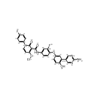 CCOc1ccn(-c2ccc(F)cc2)c(=O)c1C(=O)Nc1ccc(Oc2ccc(O)c(-c3cnc(N)nc3)c2)c(F)c1